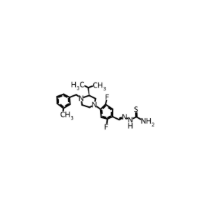 Cc1cccc(CN2CCN(c3cc(F)c(C=NNC(N)=S)cc3F)C[C@@H]2C(C)C)c1